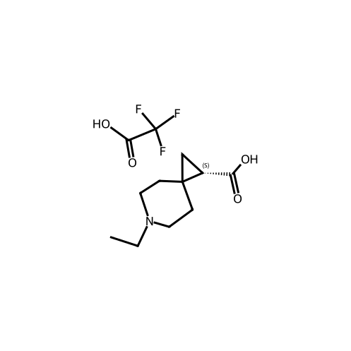 CCN1CCC2(CC1)C[C@@H]2C(=O)O.O=C(O)C(F)(F)F